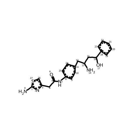 Nc1nc(CC(=O)Nc2ccc(CC(N)CC(O)c3ccccc3)cc2)cs1